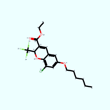 CCCCCCOc1cc(Cl)c2c(c1)C=C(C(=O)OCC)C(C(F)(F)F)O2